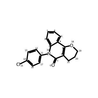 O=c1c2c(c3ccccc3n1-c1ccc(Cl)cc1)OCCC2